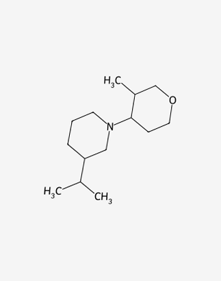 CC(C)C1CCCN(C2CCOCC2C)C1